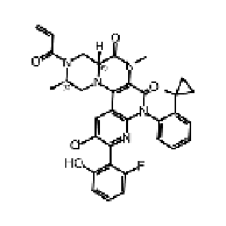 C=CC(=O)N1C[C@@H]2C(=O)N(C)c3c(c4cc(Cl)c(-c5c(O)cccc5F)nc4n(-c4ccccc4C4(C)CC4)c3=O)N2C[C@H]1C